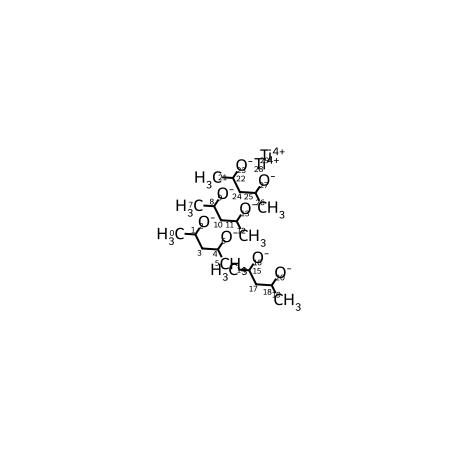 CC([O-])CC(C)[O-].CC([O-])CC(C)[O-].CC([O-])CC(C)[O-].CC([O-])CC(C)[O-].[Ti+4].[Ti+4]